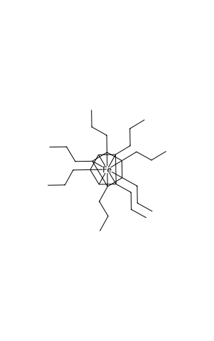 CCC[C]12[CH]3[C]4(CCC)[C]5(CCC)[CH]1[Fe]32451678[C]2(CCC)[C]1(CCC)[C]6(CCC)[C]7(CCC)[C]28CCC